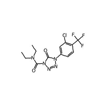 CCN(CC)C(=O)n1nnn(-c2ccc(C(F)(F)F)c(Cl)c2)c1=O